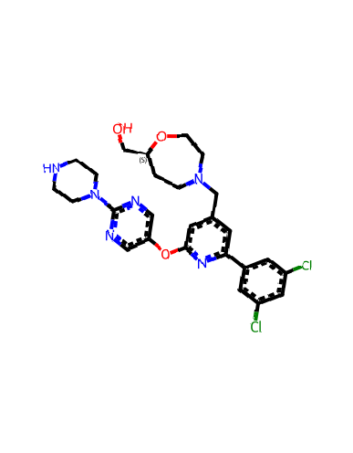 OC[C@@H]1CCN(Cc2cc(Oc3cnc(N4CCNCC4)nc3)nc(-c3cc(Cl)cc(Cl)c3)c2)CCO1